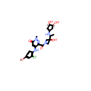 CC(NC1C[C@@H](O)[C@@H](O)C1)C1(O)CN(C(=O)c2nn(C)c(=O)cc2Nc2ccc(Br)cc2Cl)C1